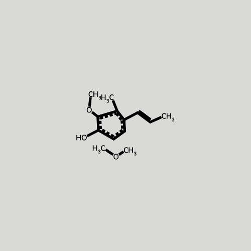 CC=Cc1ccc(O)c(OC)c1C.COC